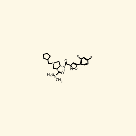 CN(C)C(=O)[C@H]1CN(CC2CCCC2)CC[C@@H]1NC(=O)c1cc(-c2ccc(F)cc2F)on1